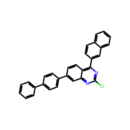 Clc1nc(-c2ccc3ccccc3c2)c2ccc(-c3ccc(-c4ccccc4)cc3)cc2n1